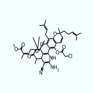 COC(=O)/C(C)=C\CC12OC(C)(C)C(C)C13Oc1c(CC=C(C)C)c4c(c(OC(=O)CCl)c1C1=C3C(C(C#N)=C(N)N1)C(C)C2=O)C=CC(C)(CCC=C(C)C)O4